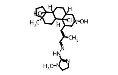 CC(/C=N/NC1=NCCN1C)=C\C1C[C@H](O)C[C@H]2CC[C@@H]3[C@H](CC[C@]4(C)CCC[C@]34O)[C@@]12C